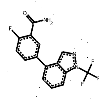 NC(=O)c1cc(-c2cccc3c2cnn3C(F)(F)F)ccc1F